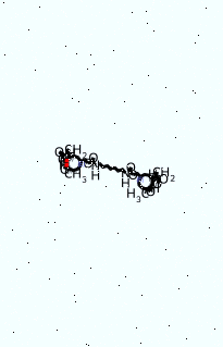 C=C1C(=O)O[C@H]2[C@H]1CC/C(COC(=O)NCCCCCCCNC(=O)OC/C1=C/CC[C@@]3(C)O[C@H]3[C@H]3OC(=O)C(=C)[C@@H]3CC1)=C\CC[C@@]1(C)O[C@@H]21